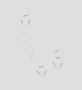 CCc1ccc(CN2CCN(C3CC4(C3)CN(c3ccc(C=O)c(Oc5cnc6[nH]cc(F)c6c5)c3)C4)CC2)cc1OC